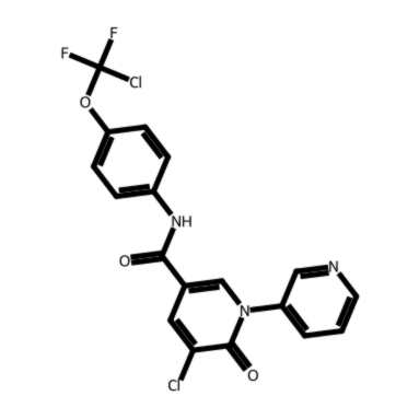 O=C(Nc1ccc(OC(F)(F)Cl)cc1)c1cc(Cl)c(=O)n(-c2cccnc2)c1